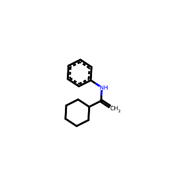 C=C(Nc1ccccc1)C1CCCCC1